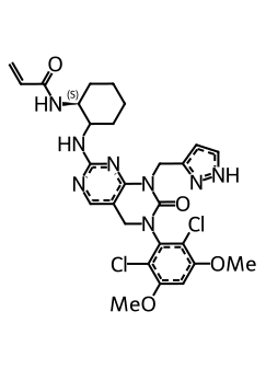 C=CC(=O)N[C@H]1CCCCC1Nc1ncc2c(n1)N(Cc1cc[nH]n1)C(=O)N(c1c(Cl)c(OC)cc(OC)c1Cl)C2